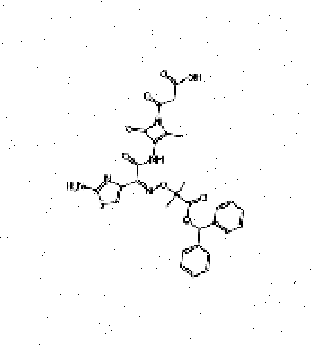 CC1=C(NC(=O)/C(=N\OC(C)(C)C(=O)OC(c2ccccc2)c2ccccc2)c2csc(N)n2)C(=O)N1C(=O)CC(=O)O